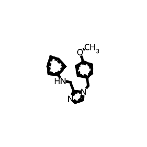 COc1ccc(Cn2ccnc2CNc2ccccc2)cc1